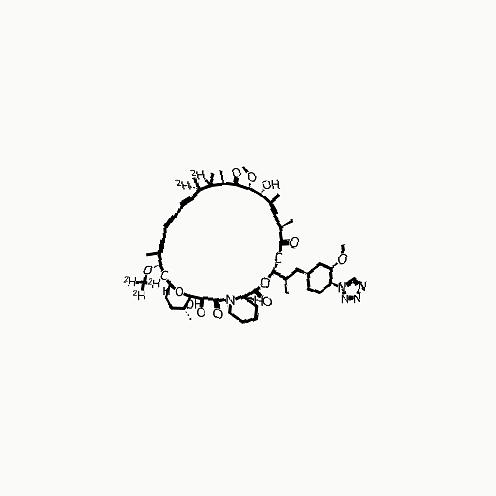 [2H]C([2H])([2H])O[C@H]1C[C@@H]2CC[C@@H](C)[C@@](O)(O2)C(=O)C(=O)N2CCCC[C@H]2C(=O)O[C@H]([C@H](C)C[C@@H]2CC[C@H](n3cnnn3)[C@H](OC)C2)CC(=O)[C@H](C)/C=C(\C)[C@@H](O)[C@@H](OC)C(=O)[C@H](C)C([2H])(C)[C@]([2H])(C)/C=C/C=C/C=C/1C